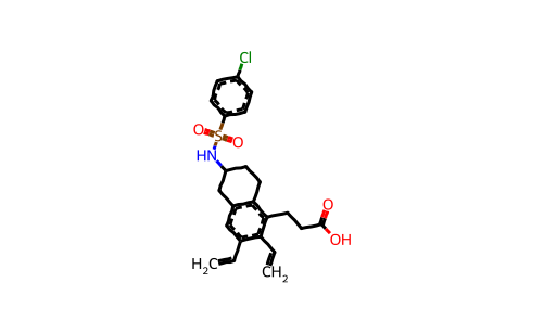 C=Cc1cc2c(c(CCC(=O)O)c1C=C)CCC(NS(=O)(=O)c1ccc(Cl)cc1)C2